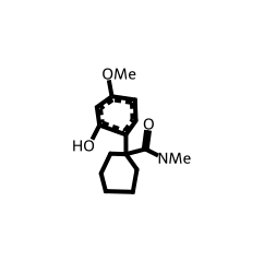 CNC(=O)C1(c2ccc(OC)cc2O)CCCCC1